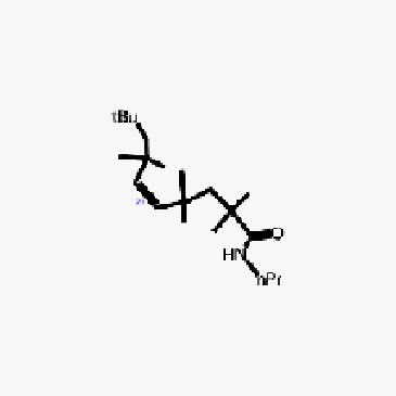 CCCNC(=O)C(C)(C)CC(C)(C)/C=C\C(C)(C)CC(C)(C)C